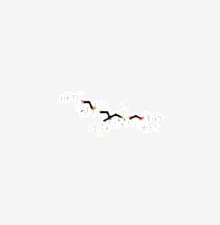 CCCOC(CCPCCC(CN)(CCPCCC(OCCC)OCCC)OC)OCCC